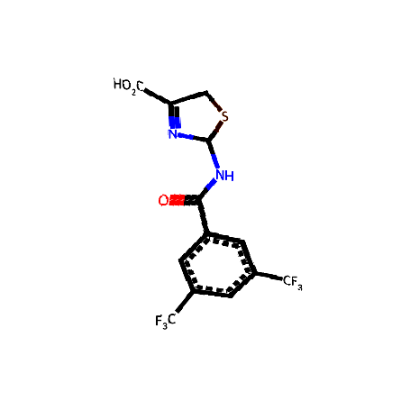 O=C(O)C1=NC(NC(=O)c2cc(C(F)(F)F)cc(C(F)(F)F)c2)SC1